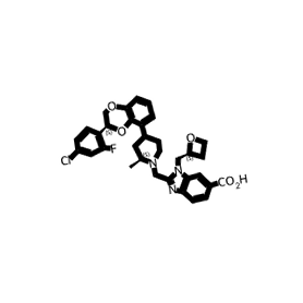 C[C@H]1CC(c2cccc3c2O[C@@H](c2ccc(Cl)cc2F)CO3)CCN1Cc1nc2ccc(C(=O)O)cc2n1C[C@@H]1CCO1